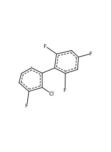 Fc1cc(F)c(-c2[c]ccc(F)c2Cl)c(F)c1